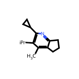 Cc1c2c(nc(C3CC3)c1C(C)C)CCC2